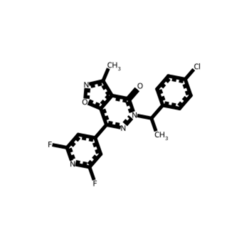 Cc1noc2c(-c3cc(F)nc(F)c3)nn(C(C)c3ccc(Cl)cc3)c(=O)c12